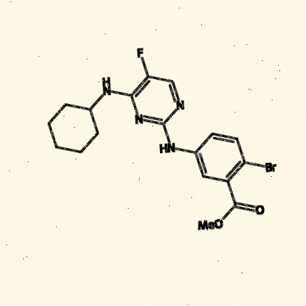 COC(=O)c1cc(Nc2ncc(F)c(NC3CCCCC3)n2)ccc1Br